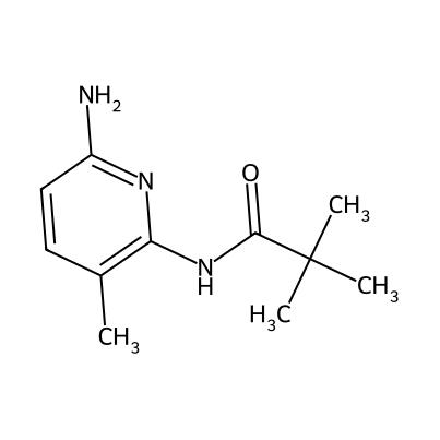 Cc1ccc(N)nc1NC(=O)C(C)(C)C